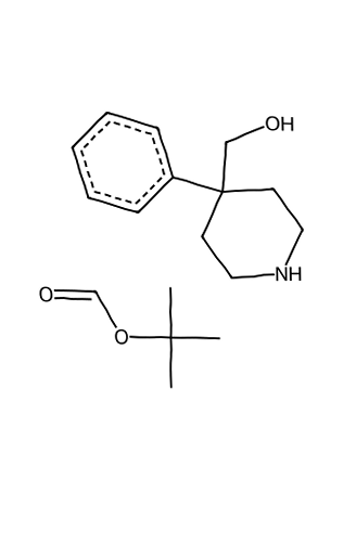 CC(C)(C)OC=O.OCC1(c2ccccc2)CCNCC1